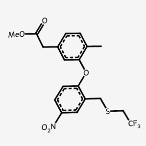 COC(=O)Cc1ccc(C)c(Oc2ccc([N+](=O)[O-])cc2CSCC(F)(F)F)c1